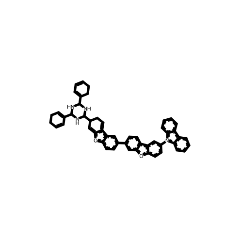 C1=CCCC(C2NC(C3=CCCC=C3)NC(C3C=c4oc5ccc(-c6ccc7c(c6)oc6ccc(-n8c9ccccc9c9ccccc98)cc67)cc5c4=CC3)N2)=C1